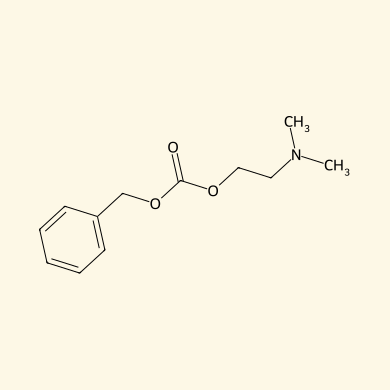 CN(C)CCOC(=O)OCc1ccccc1